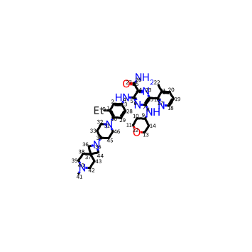 CCc1cc(Nc2nc(NC3CCOCC3)c(-c3ncccc3C)nc2C(N)=O)ccc1N1CCC(N2CC3(CCN(C)CC3)C2)CC1